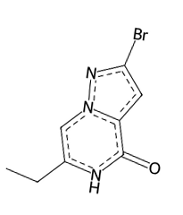 CCc1cn2nc(Br)cc2c(=O)[nH]1